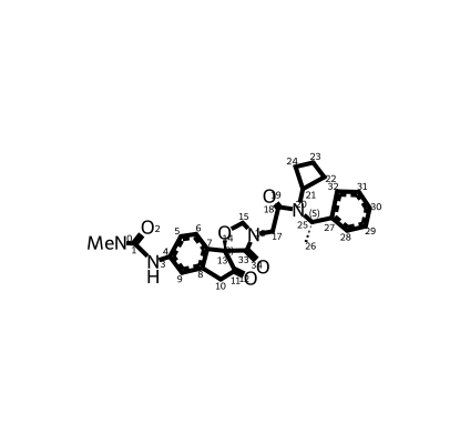 CNC(=O)Nc1ccc2c(c1)CC(=O)[C@]21OCN(CC(=O)N(C2CCC2)[C@@H](C)c2ccccc2)C1=O